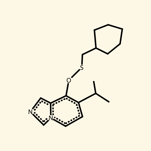 CC(C)c1ccn2cncc2c1OSCC1CCCCC1